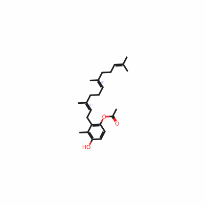 CC(=O)Oc1ccc(O)c(C)c1C/C=C(\C)CC/C=C(\C)CCC=C(C)C